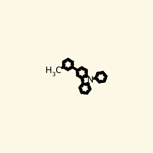 Cc1cccc(-c2ccc3c(c2)c2ccccc2n3-c2ccccc2)c1